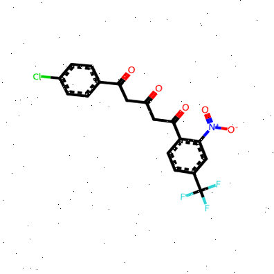 O=C(CC(=O)c1ccc(Cl)cc1)CC(=O)c1ccc(C(F)(F)F)cc1[N+](=O)[O-]